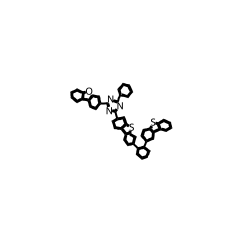 c1ccc(-c2nc(-c3ccc4c(c3)oc3ccccc34)nc(-c3ccc4c(c3)sc3cc(-c5ccccc5-c5ccc6sc7ccccc7c6c5)ccc34)n2)cc1